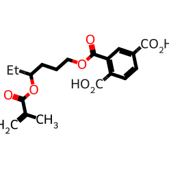 C=C(C)C(=O)OC(CC)CCCOC(=O)c1cc(C(=O)O)ccc1C(=O)O